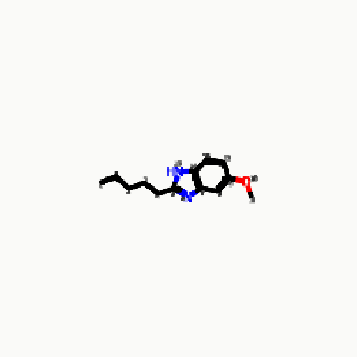 CCCCCc1nc2cc(OC)ccc2[nH]1